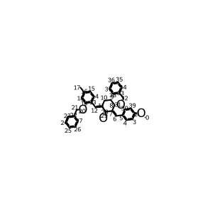 COc1ccc(/C=C2\CCC/C(=C\c3ccc(C)cc3OCc3ccccc3)C2=O)c(OCc2ccccc2)c1